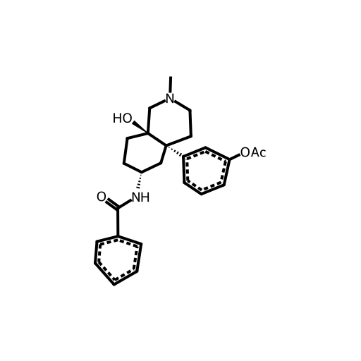 CC(=O)Oc1cccc([C@@]23CCN(C)C[C@@]2(O)CC[C@@H](NC(=O)c2ccccc2)C3)c1